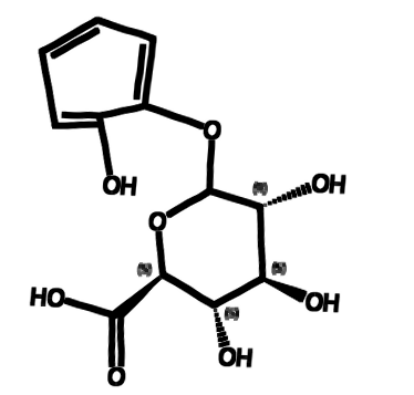 O=C(O)[C@H]1OC(Oc2ccccc2O)[C@H](O)[C@@H](O)[C@@H]1O